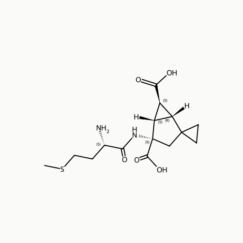 CSCC[C@H](N)C(=O)N[C@@]1(C(=O)O)CC2(CC2)[C@H]2[C@H](C(=O)O)[C@H]21